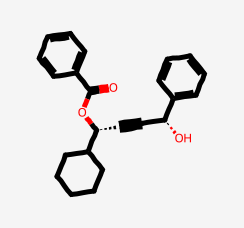 O=C(O[C@H](C#C[C@@H](O)c1ccccc1)C1CCCCC1)c1ccccc1